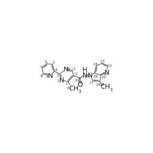 Cc1nc(-c2ccccn2)ncc1C(=O)Nn1cc(C)c2ncccc21